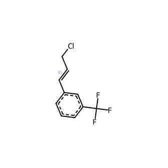 FC(F)(F)c1cccc(/C=C/CCl)c1